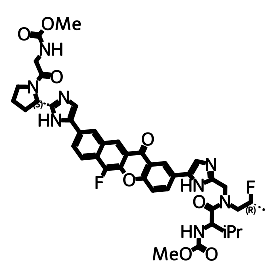 COC(=O)NCC(=O)N1CCC[C@H]1c1ncc(-c2ccc3c(F)c4oc5ccc(-c6cnc(CN(C[C@@H](C)F)C(=O)C(NC(=O)OC)C(C)C)[nH]6)cc5c(=O)c4cc3c2)[nH]1